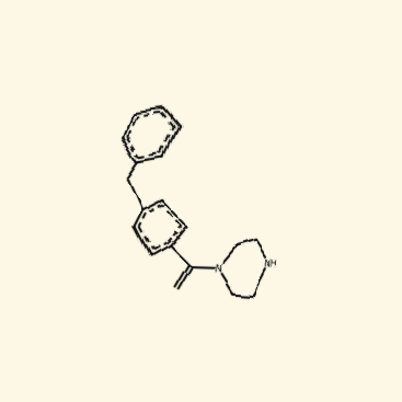 C=C(c1ccc(Cc2ccccc2)cc1)N1CCNCC1